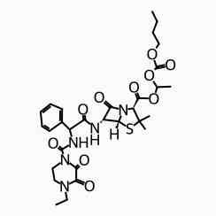 CCCCOC(=O)OC(C)OC(=O)[C@@H]1N2C(=O)[C@@H](NC(=O)C(NC(=O)N3CCN(CC)C(=O)C3=O)c3ccccc3)[C@H]2SC1(C)C